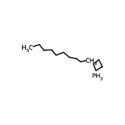 C1CCC1.CCCCCCCCCC.P